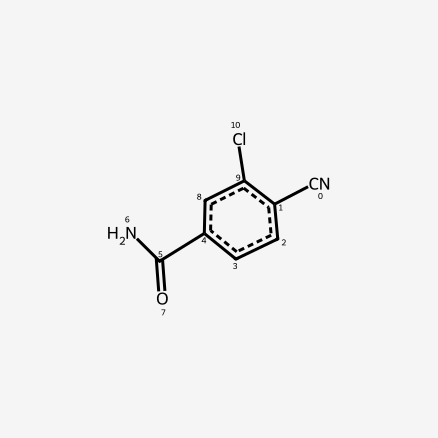 N#Cc1ccc(C(N)=O)cc1Cl